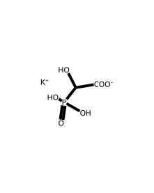 O=C([O-])C(O)P(=O)(O)O.[K+]